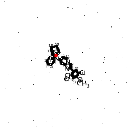 COc1cc(OC)c(-c2cn3ccc(NC4CC5CCC(C4)N5CC4CCCCC4)cc3n2)cc1Cl